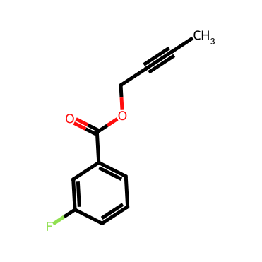 CC#CCOC(=O)c1cccc(F)c1